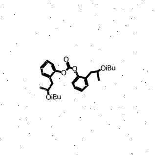 CC(C)COC(C)Cc1ccccc1OC(=O)Oc1ccccc1CC(C)OCC(C)C